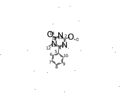 COc1nc(-c2ccccc2)n(C)c(=O)n1